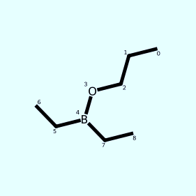 CCCOB(CC)CC